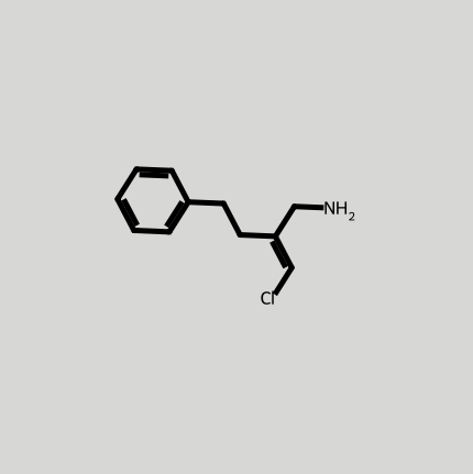 NC/C(=C/Cl)CCc1ccccc1